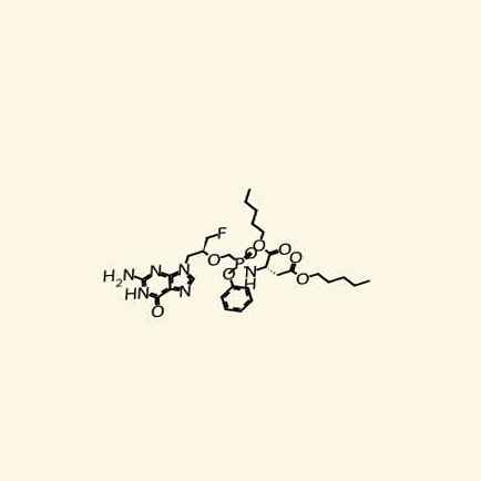 CCCCCOC(=O)C[C@H](NP(=O)(CO[C@H](CF)Cn1cnc2c(=O)[nH]c(N)nc21)Oc1ccccc1)C(=O)OCCCCC